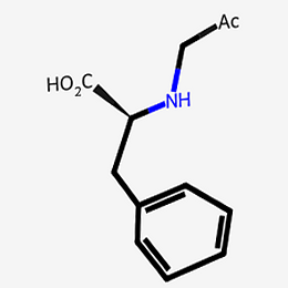 CC(=O)CN[C@@H](Cc1ccccc1)C(=O)O